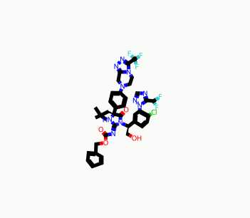 CC(C)(C)C[C@]1(c2ccc(N3CCn4c(nnc4C(F)(F)F)C3)cc2)N/C(=N\C(=O)OCc2ccccc2)N([C@H](CO)c2ccc(Cl)c(-n3ncnc3C(F)F)c2)C1=O